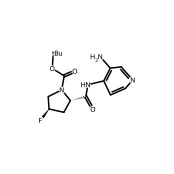 CC(C)(C)OC(=O)N1C[C@H](F)C[C@H]1C(=O)Nc1ccncc1N